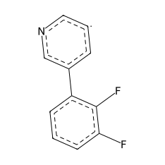 Fc1cccc(-c2c[c]cnc2)c1F